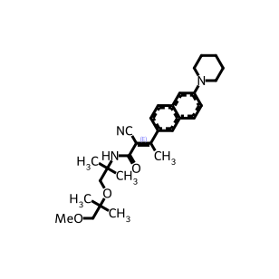 COCC(C)(C)OCC(C)(C)NC(=O)/C(C#N)=C(\C)c1ccc2cc(N3CCCCC3)ccc2c1